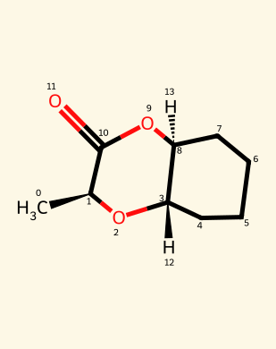 C[C@@H]1O[C@H]2CCCC[C@@H]2OC1=O